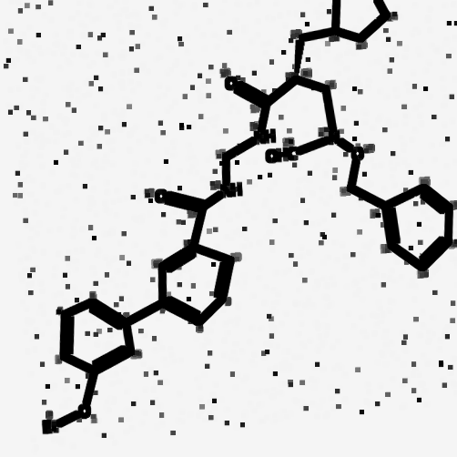 CCOc1cccc(-c2cccc(C(=O)NCNC(=O)[C@H](CC3CCCC3)CN(C=O)OCc3ccccc3)c2)c1